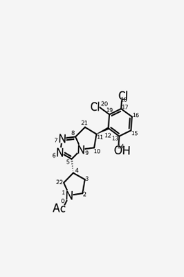 CC(=O)N1CC[C@@H](c2nnc3n2C[C@H](c2c(O)ccc(Cl)c2Cl)C3)C1